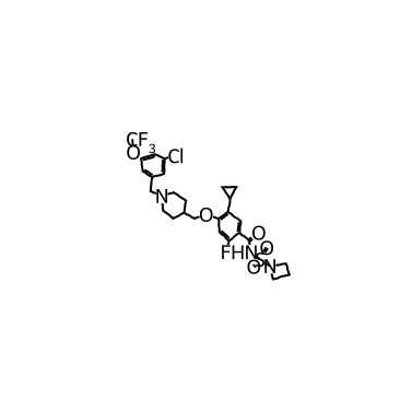 O=C(NS(=O)(=O)N1CCC1)c1cc(C2CC2)c(OCC2CCN(Cc3cc(Cl)cc(OC(F)(F)F)c3)CC2)cc1F